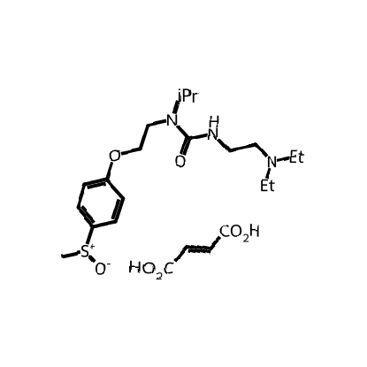 CCN(CC)CCNC(=O)N(CCOc1ccc([S+](C)[O-])cc1)C(C)C.O=C(O)C=CC(=O)O